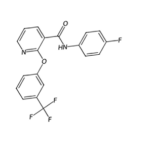 O=C(Nc1ccc(F)cc1)c1cccnc1Oc1cccc(C(F)(F)F)c1